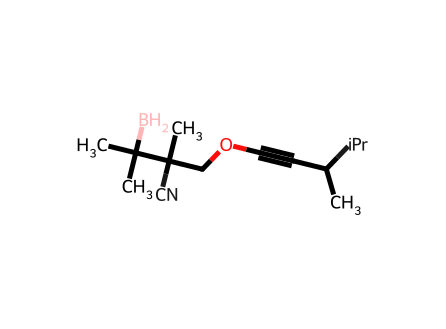 BC(C)(C)C(C)(C#N)COC#CC(C)C(C)C